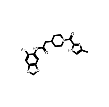 CC(=O)c1cc2c(cc1NC(=O)CC1CCN(C(=O)c3nc(C)c[nH]3)CC1)OCO2